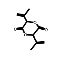 C=C(C)C1OC(=O)C(C(=C)C)OC1=O